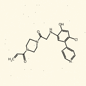 C=CC(=O)N1CCN(C(=O)CNc2cc(-c3ccncc3)c(Cl)cc2O)CC1